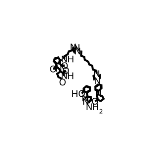 Nc1nnc(-c2ccccc2O)cc1OC1CCCN(c2ccc(N3CCN(CCCCCCCCCn4cc(CCCNc5cccc6c5C(=O)N(C5CCC(=O)NC5=O)C6=O)nn4)CC3)cc2)C1